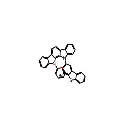 Brc1cc(-n2c3ccccc3c3ccc4c5ccccc5n(-c5ccccc5)c4c32)cc2c1sc1ccccc12